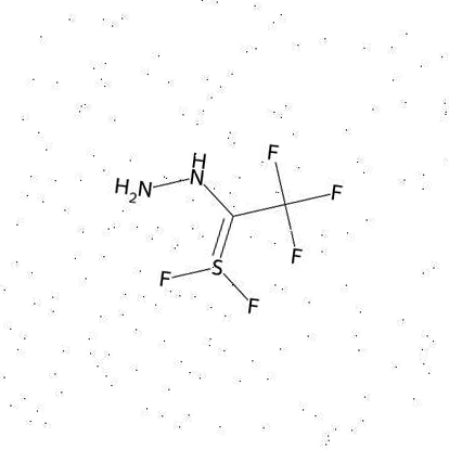 NNC(=S(F)F)C(F)(F)F